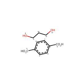 O=C(O)c1ccc(C(=O)O)cc1.OCCCO